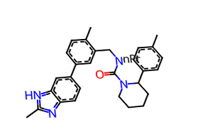 CCCN(Cc1cc(-c2ccc3nc(C)[nH]c3c2)ccc1C)C(=O)N1CCCCC1c1ccc(C)cc1